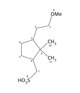 COCCC1CCC(CS(=O)(=O)O)C1(C)C